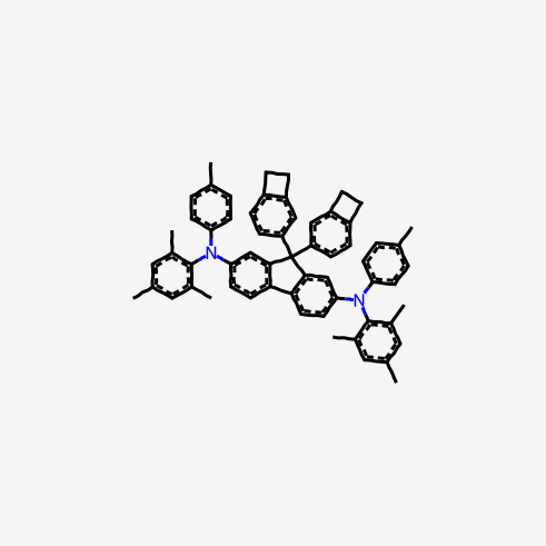 Cc1ccc(N(c2ccc3c(c2)C(c2ccc4c(c2)CC4)(c2ccc4c(c2)CC4)c2cc(N(c4ccc(C)cc4)c4c(C)cc(C)cc4C)ccc2-3)c2c(C)cc(C)cc2C)cc1